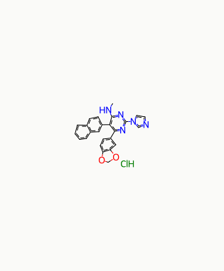 CNc1nc(-n2ccnc2)nc(-c2ccc3c(c2)OCO3)c1-c1ccc2ccccc2c1.Cl